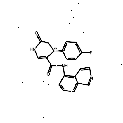 O=C1C[C@@H](c2ccc(F)cc2)C(C(=O)Nc2cccc3cnccc23)=CN1